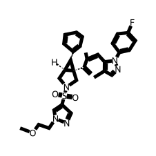 C=C(/C(C)=C\c1c(C)cnn1-c1ccc(F)cc1)[C@]12CN(S(=O)(=O)c3cnn(CCOC)c3)C[C@H]1[C@@H]2c1ccccc1